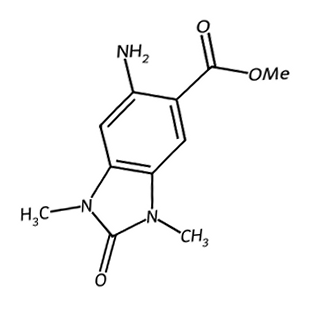 COC(=O)c1cc2c(cc1N)n(C)c(=O)n2C